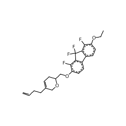 C=CCCC1=CCC(COc2ccc3c(c2F)C(F)(F)c2c-3ccc(OCC)c2F)OC1